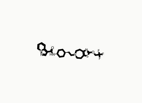 O=C(N[C@H]1CC[C@H](CCN2CCc3nc(OCC(F)(F)F)sc3CC2)CC1)c1cnn2ccccc12